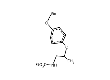 CCOC(=O)NCC(C)Oc1ccc(OC(C)CC)cc1